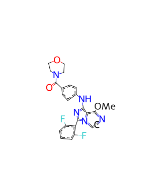 COc1nccn2c(-c3c(F)cccc3F)nc(Nc3ccc(C(=O)N4CCOCC4)cc3)c12